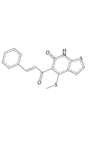 CSc1c(C(=O)C=Cc2ccccc2)c(=O)[nH]c2sccc12